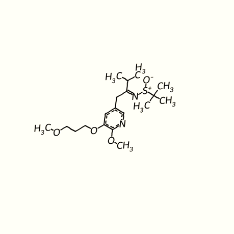 COCCCOc1cc(CC(=N[S+]([O-])C(C)(C)C)C(C)C)cnc1OC